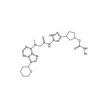 CC(C)NC(=O)OC1CCC(c2cc(NC(=O)CN(C)c3ncnc4c3ncn4C3CCCCO3)[nH]n2)C1